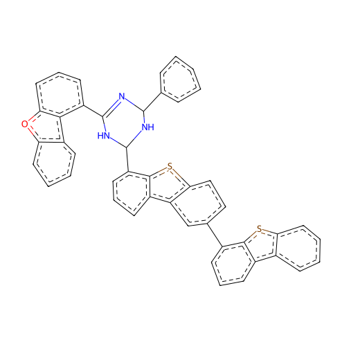 c1ccc(C2N=C(c3cccc4oc5ccccc5c34)NC(c3cccc4c3sc3ccc(-c5cccc6c5sc5ccccc56)cc34)N2)cc1